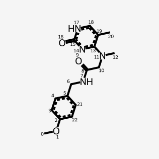 COc1ccc(CNC(=O)CN(C)c2nc(=O)[nH]cc2C)cc1